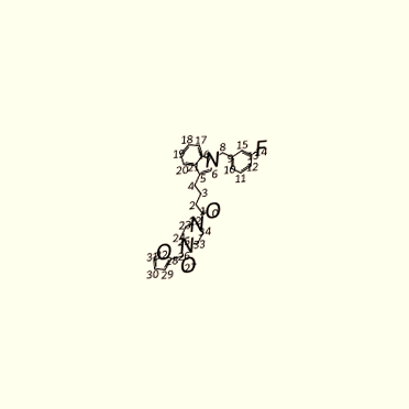 O=C(CCCc1cn(Cc2cccc(F)c2)c2ccccc12)N1CCN(C(=O)c2ccco2)CC1